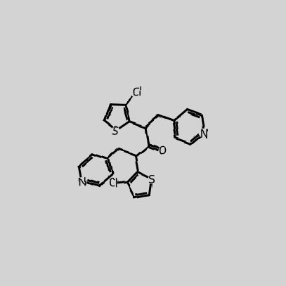 O=C(C(Cc1ccncc1)c1sccc1Cl)C(Cc1ccncc1)c1sccc1Cl